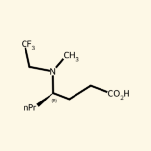 CCC[C@H](CCC(=O)O)N(C)CC(F)(F)F